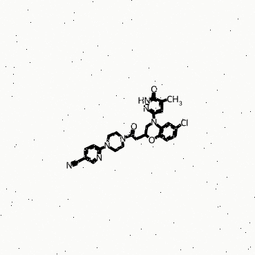 Cc1cc(N2CC(CC(=O)N3CCN(c4ccc(C#N)cn4)CC3)Oc3ccc(Cl)cc32)n[nH]c1=O